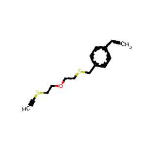 C#CSCCOCCSCc1ccc(C=C)cc1